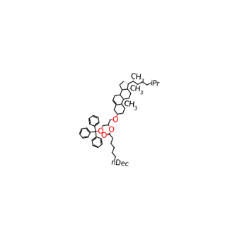 CCCCCCCCCCCCCCCC(=O)OC(COC1CC[C@@]2(C)C(=CCC3C2CC[C@@]2(C)C3CC[C@@H]2[C@H](C)CCCC(C)C)C1)COC(c1ccccc1)(c1ccccc1)c1ccccc1